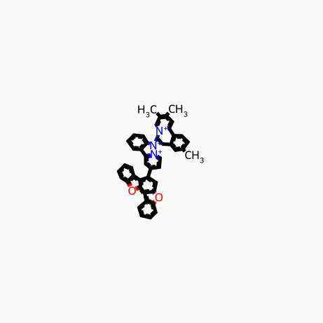 Cc1ccc2c(c1)C1C([n+]3cc(C)c(C)cc3-2)[N+]12c1ccccc1-c1cc(-c3cc4oc5ccccc5c4c4oc5ccccc5c34)cc[n+]12